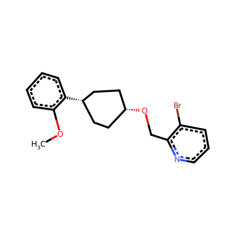 COc1ccccc1[C@H]1CC[C@@H](OCc2ncccc2Br)CC1